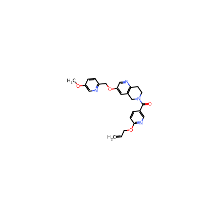 C=CCOc1ccc(C(=O)N2CCc3ncc(OCc4ccc(OC)cn4)cc3C2)cn1